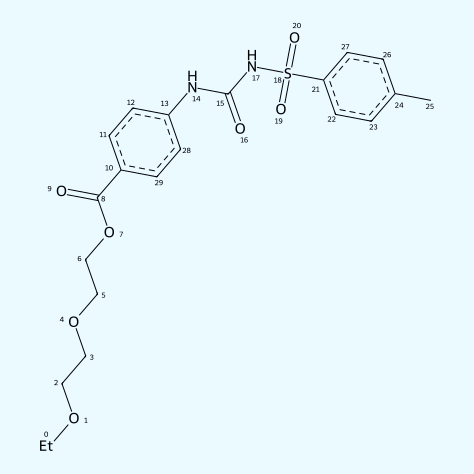 [CH2]COCCOCCOC(=O)c1ccc(NC(=O)NS(=O)(=O)c2ccc(C)cc2)cc1